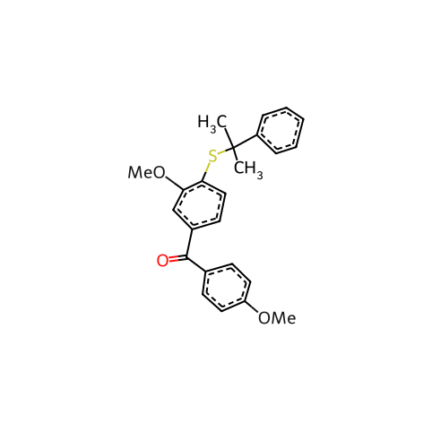 COc1ccc(C(=O)c2ccc(SC(C)(C)c3ccccc3)c(OC)c2)cc1